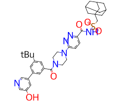 CC(C)(C)c1cc(C(=O)N2CCN(c3ccc(C(=O)NS(=O)(=O)CC45CC6CC(CC(C6)C4)C5)nn3)CC2)cc(-c2cncc(O)c2)c1